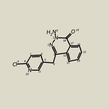 Nn1nc(Cc2ccc(Cl)nc2)c2ccccc2c1=O